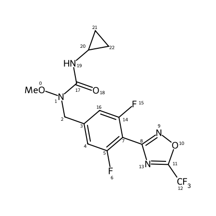 CON(Cc1cc(F)c(-c2noc(C(F)(F)F)n2)c(F)c1)C(=O)NC1CC1